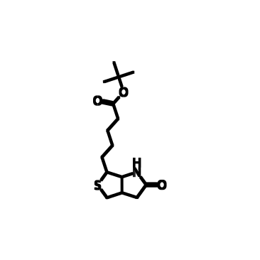 CC(C)(C)OC(=O)CCCCC1SCC2CC(=O)NC21